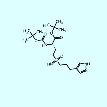 CC(C)(C)OC(=O)N[C@@H](CCS(=N)(=O)CCCc1cn[nH]c1)C(=O)OC(C)(C)C